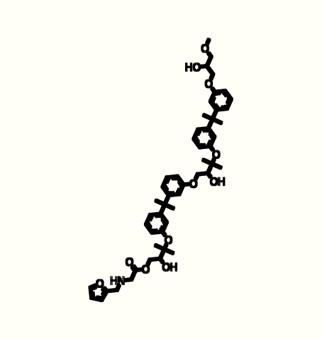 COCC(O)COc1cccc(C(C)(C)c2cccc(OC(C)(C)C(O)COc3cccc(C(C)(C)c4cccc(OC(C)(C)C(O)COC(=O)CNCc5ccco5)c4)c3)c2)c1